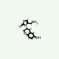 NCC1=C[N]C(=S)N1[C@H]1COc2ccc(O)cc2C1